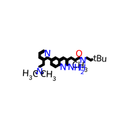 CC(Cc1cc2cc(-c3ncccc3CCN(C)C)ccc2nc1N)C(=O)NCCC(C)(C)C